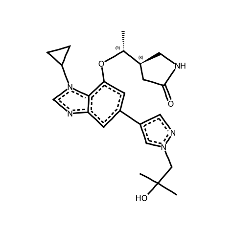 C[C@@H](Oc1cc(-c2cnn(CC(C)(C)O)c2)cc2ncn(C3CC3)c12)[C@H]1CNC(=O)C1